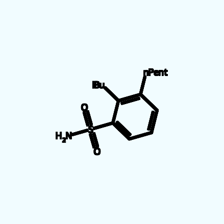 CCCCCc1cccc(S(N)(=O)=O)c1C(C)CC